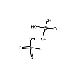 O=S(=O)(O)F.O[Si](O)(O)O